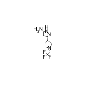 Nc1cc(C2CCN(CC(F)(F)F)CC2)n[nH]1